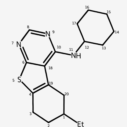 CCC1CCc2sc3ncnc(NC4CCCCC4)c3c2C1